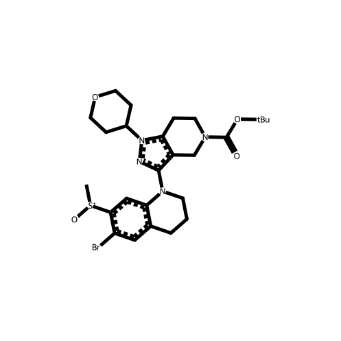 C[S+]([O-])c1cc2c(cc1Br)CCCN2c1nn(C2CCOCC2)c2c1CN(C(=O)OC(C)(C)C)CC2